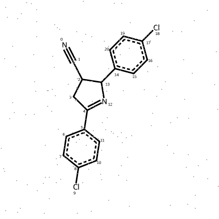 N#CC1CC(c2ccc(Cl)cc2)=NC1c1ccc(Cl)cc1